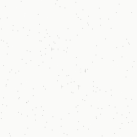 CCCC(F)(F)S